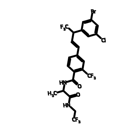 CC(NC(=O)c1ccc(/C=C/C(c2cc(Cl)cc(Br)c2)C(F)(F)F)cc1C(F)(F)F)C(=O)NCC(F)(F)F